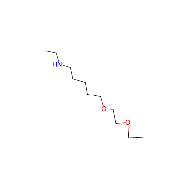 CCNCCCCCOCCOCC